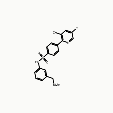 CNCc1cccc(NS(=O)(=O)c2ccc(-c3ncc(Cl)cc3Cl)cc2)c1